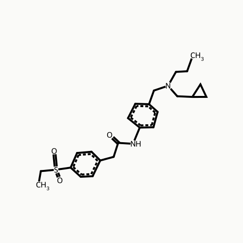 CCCN(Cc1ccc(NC(=O)Cc2ccc(S(=O)(=O)CC)cc2)cc1)CC1CC1